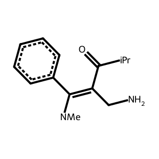 CN/C(=C(\CN)C(=O)C(C)C)c1ccccc1